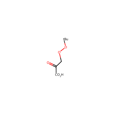 CC(C)(C)OOCC(=O)C(=O)O